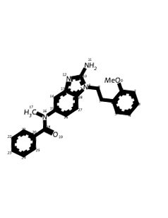 COc1ccccc1CCn1c(N)nc2cc(N(C)C(=O)c3ccccc3)ccc21